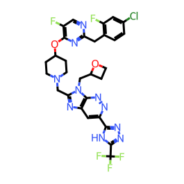 Fc1cc(Cl)ccc1Cc1ncc(F)c(OC2CCN(Cc3nc4cc(-c5nnc(C(F)(F)F)[nH]5)nnc4n3CC3CCO3)CC2)n1